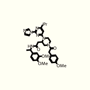 COc1ccc(CC(=O)N2CCN(c3cc(C(C)C)nc(-n4ccnc4)n3)C(CC(=O)NC(C)c3ccc(OC)c(OC)c3)C2)cc1